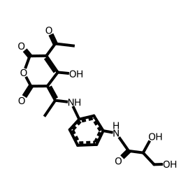 CC(=O)C1=C(O)C(=C(C)Nc2cccc(NC(=O)C(O)CO)c2)C(=O)OC1=O